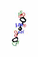 O=C(COc1ccc(Cl)c(F)c1)NC12CC(NC(=O)c3ccc4c(c3)OC(F)(F)O4)(C1)C2